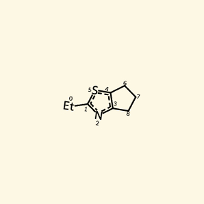 CCc1nc2c(s1)CCC2